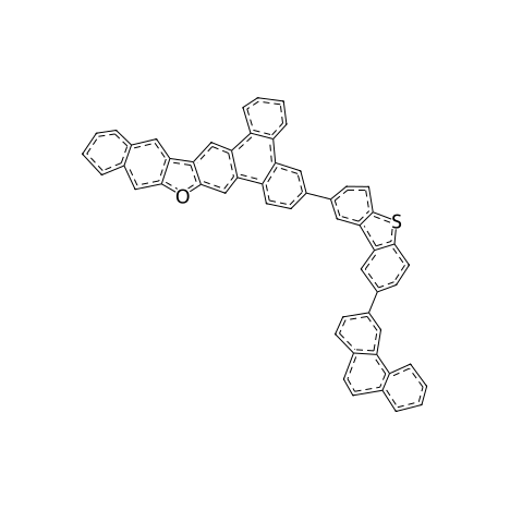 c1ccc2cc3c(cc2c1)oc1cc2c4ccc(-c5ccc6sc7ccc(-c8ccc9ccc%10ccccc%10c9c8)cc7c6c5)cc4c4ccccc4c2cc13